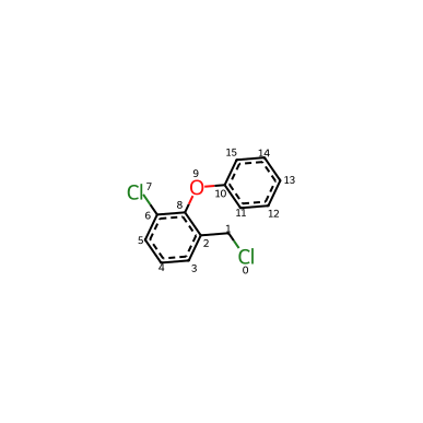 ClCc1cccc(Cl)c1Oc1ccccc1